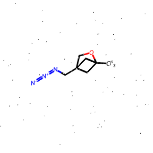 [N-]=[N+]=NCC12COC(C(F)(F)F)(C1)C2